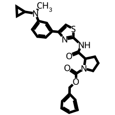 CN(c1cccc(-c2csc(NC(=O)C3CCCN3C(=O)OCc3ccccc3)n2)c1)C1CC1